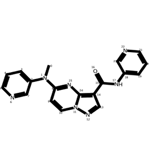 CN(c1cccnc1)c1ccn2ncc(C(=O)Nc3cccnc3)c2n1